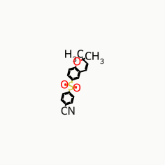 CC1(C)C=Cc2cc(S(=O)(=O)c3ccc(C#N)cc3)ccc2O1